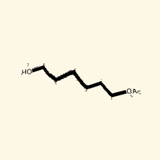 CC(=O)OCCCCCCO